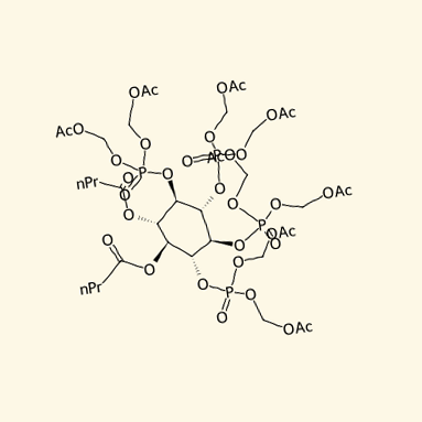 CCCC(=O)O[C@H]1[C@H](OC(=O)CCC)[C@@H](OP(=O)(OCOC(C)=O)OCOC(C)=O)[C@H](OP(=O)(OCOC(C)=O)OCOC(C)=O)[C@@H](OP(=O)(OCOC(C)=O)OCOC(C)=O)[C@@H]1OP(=O)(OCOC(C)=O)OCOC(C)=O